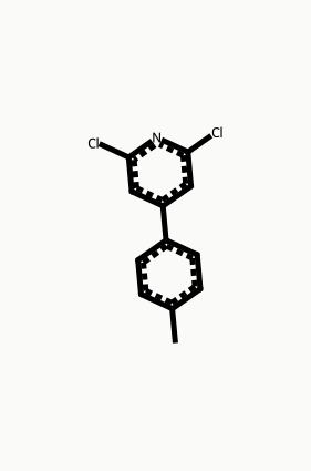 Cc1ccc(-c2cc(Cl)nc(Cl)c2)cc1